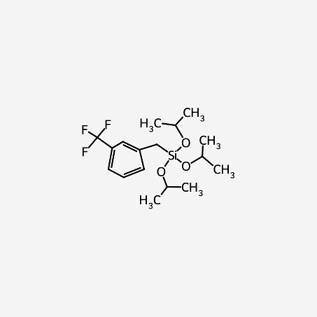 CC(C)O[Si](Cc1cccc(C(F)(F)F)c1)(OC(C)C)OC(C)C